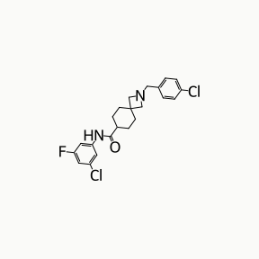 O=C(Nc1cc(F)cc(Cl)c1)C1CCC2(CC1)CN(Cc1ccc(Cl)cc1)C2